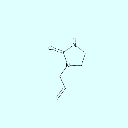 C=C[CH]N1CCNC1=O